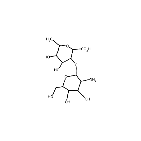 CC1OC(C(=O)O)C(OC2OC(CO)C(O)C(O)C2N)C(O)C1O